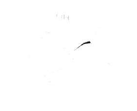 C=C(C)[C@H]1C[C@H](C)CC[C@@H]1O